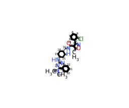 Cc1onc(-c2ccccc2Cl)c1C(=O)NC[C@H]1CC[C@@H](Nc2nc(N(C)C)c3ccccc3n2)CC1